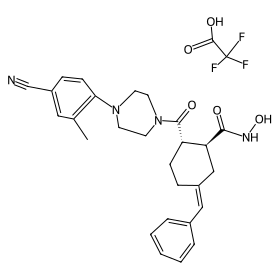 Cc1cc(C#N)ccc1N1CCN(C(=O)[C@H]2CC/C(=C\c3ccccc3)C[C@@H]2C(=O)NO)CC1.O=C(O)C(F)(F)F